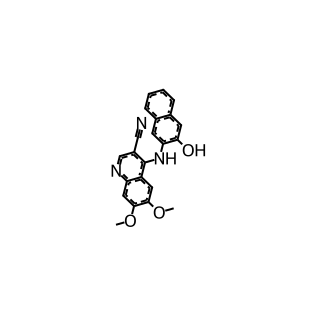 COc1cc2ncc(C#N)c(Nc3cc4ccccc4cc3O)c2cc1OC